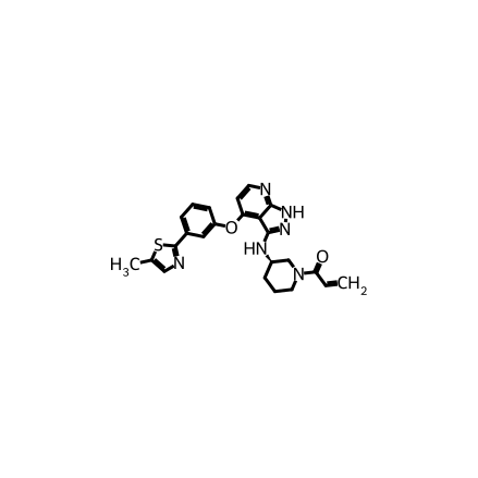 C=CC(=O)N1CCC[C@@H](Nc2n[nH]c3nccc(Oc4cccc(-c5ncc(C)s5)c4)c23)C1